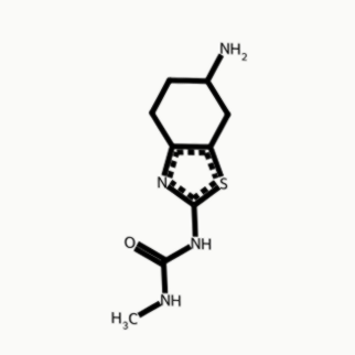 CNC(=O)Nc1nc2c(s1)CC(N)CC2